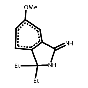 CCC1(CC)NC(=N)c2cc(OC)ccc21